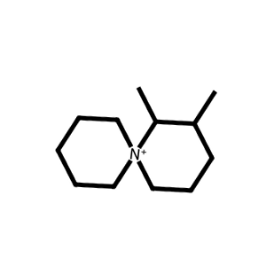 CC1CCC[N+]2(CCCCC2)C1C